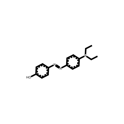 CCN(CC)c1ccc(N=Nc2ccc(O)cc2)cc1